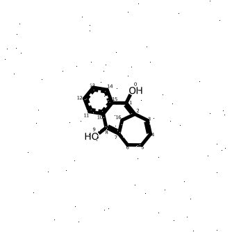 OC1=C2C=CCCC(=C(O)c3ccccc31)C2